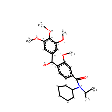 COc1cc(C(=O)N(C(C)C)C2CCCCC2)ccc1C(O)c1cc(OC)c(OC)c(OC)c1